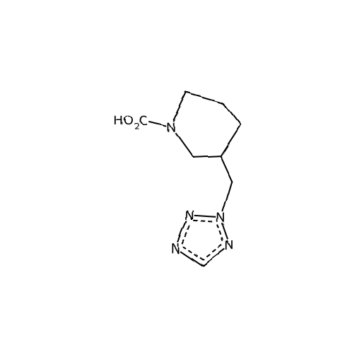 O=C(O)N1CCCC(Cn2ncnn2)C1